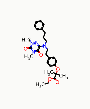 CCOC(=O)C(C)(C)Oc1ccc(CCN(CCCc2ccccc2)c2nn(C)c(=O)n(C)c2=O)cc1